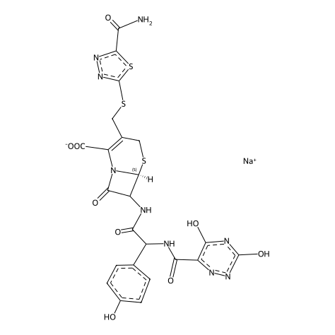 NC(=O)c1nnc(SCC2=C(C(=O)[O-])N3C(=O)C(NC(=O)C(NC(=O)c4nnc(O)nc4O)c4ccc(O)cc4)[C@@H]3SC2)s1.[Na+]